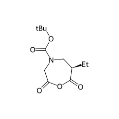 CC[C@@H]1CN(C(=O)OC(C)(C)C)CC(=O)OC1=O